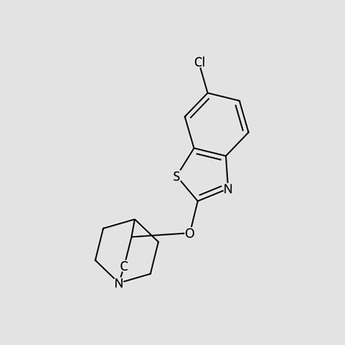 Clc1ccc2nc(OC3CN4CCC3CC4)sc2c1